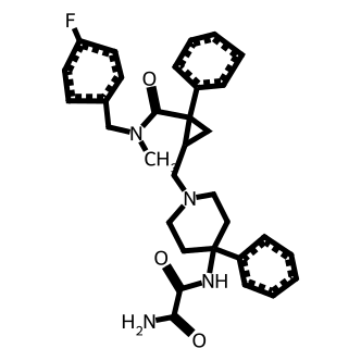 CN(Cc1ccc(F)cc1)C(=O)C1(c2ccccc2)CC1CN1CCC(NC(=O)C(N)=O)(c2ccccc2)CC1